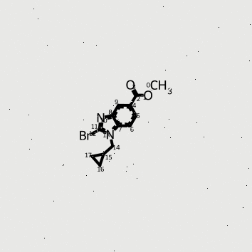 COC(=O)c1ccc2c(c1)nc(Br)n2CC1CC1